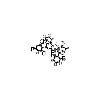 COC(=O)[C@H](Cc1ccc(-c2c(Cl)cc(F)cc2Cl)c2c1CCCO2)NC(=O)c1c(F)cccc1F